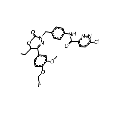 CCC1OC(=O)N(Cc2ccc(NC(=O)c3ccc(Cl)nn3)cc2)N=C1c1ccc(OCF)c(OC)c1